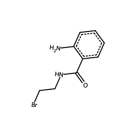 Nc1ccccc1C(=O)NCCBr